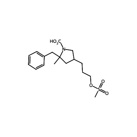 CC1(Cc2ccccc2)CC(CCCOS(C)(=O)=O)CN1C(=O)O